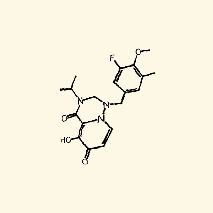 COc1c(C)cc(CN2CN(C(C)C)C(=O)c3c(O)c(=O)ccn32)cc1F